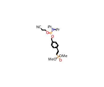 COP(=O)(C=Cc1ccc(COP(OCCC#N)N(C(C)C)C(C)C)cc1)OC